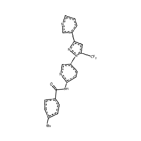 CC(C)(C)c1ccc(C(=O)Nc2ccc(-n3nc(-c4cccnc4)cc3C(F)(F)F)cn2)cc1